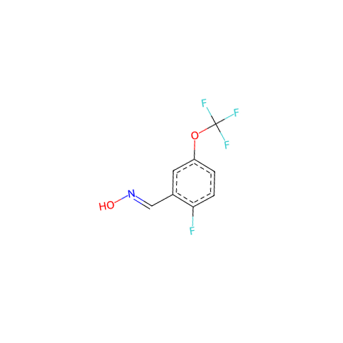 ON=Cc1cc(OC(F)(F)F)ccc1F